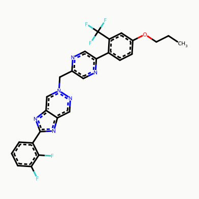 CCCOc1ccc(-c2cnc(Cn3cc4nc(-c5cccc(F)c5F)nc-4cn3)cn2)c(C(F)(F)F)c1